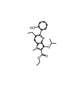 CCOC(=O)c1c(OC(C)C)c2nc(-c3ccccc3O)c(CC)cc2n1C